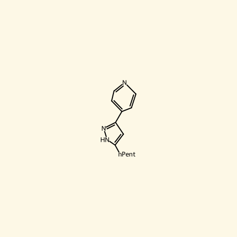 CCCCCc1cc(-c2ccncc2)n[nH]1